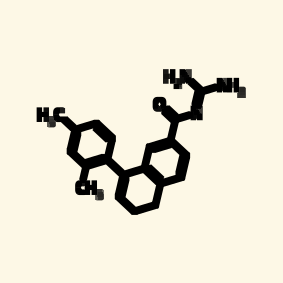 Cc1ccc(C2=CCCc3ccc(C(=O)N=C(N)N)cc32)c(C)c1